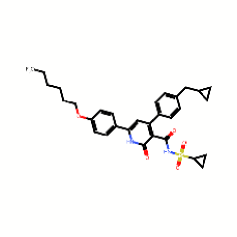 O=C(NS(=O)(=O)C1CC1)c1c(-c2ccc(CC3CC3)cc2)cc(-c2ccc(OCCCCCC(F)(F)F)cc2)[nH]c1=O